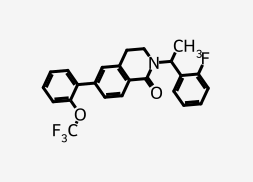 CC(c1ccccc1F)N1CCc2cc(-c3ccccc3OC(F)(F)F)ccc2C1=O